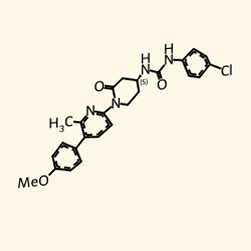 COc1ccc(-c2ccc(N3CC[C@H](NC(=O)Nc4ccc(Cl)cc4)CC3=O)nc2C)cc1